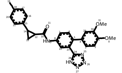 COc1ccc(-c2ccc(NC(=O)C3CC3c3ccc(C)cc3)cc2-c2nnn[nH]2)cc1OC